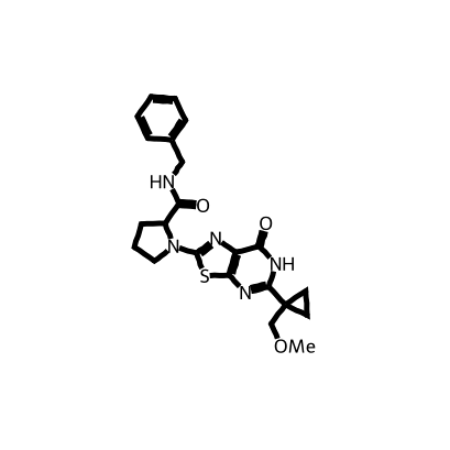 COCC1(c2nc3sc(N4CCCC4C(=O)NCc4ccccc4)nc3c(=O)[nH]2)CC1